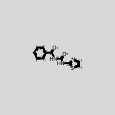 O=C(NC(=O)c1ccccc1)Nc1nccs1